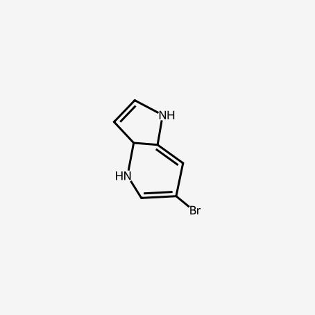 BrC1=CNC2C=CNC2=C1